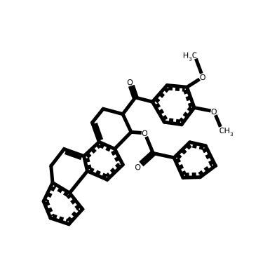 COc1ccc(C(=O)C2CC=c3c(ccc4c3=CCc3ccccc3-4)C2OC(=O)c2ccccc2)cc1OC